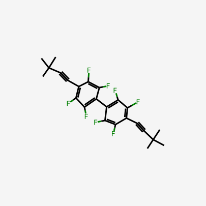 CC(C)(C)C#Cc1c(F)c(F)c(-c2c(F)c(F)c(C#CC(C)(C)C)c(F)c2F)c(F)c1F